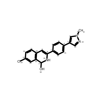 Cn1cc(-c2ccc(C3=Cc4ccc(Cl)cc4C(O)N3)cc2)cn1